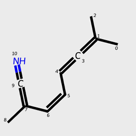 CC(C)=C=C/C=C\C(C)=C=N